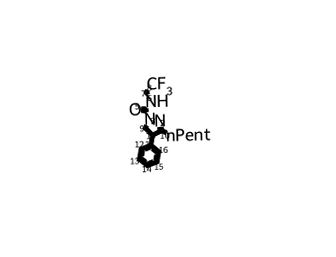 CCCCCC1=NN(C(=O)NCC(F)(F)F)CC1c1ccccc1